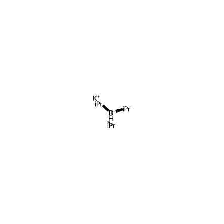 CC(C)[BH-](C(C)C)C(C)C.[K+]